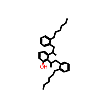 CCCCCCc1ccccc1CC(C)c1cccc(O)c1C(C)Cc1ccccc1CCCCCC